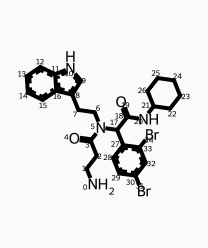 NCCC(=O)N(CCc1c[nH]c2ccccc12)C(C(=O)NC1CCCCC1)c1ccc(Br)cc1Br